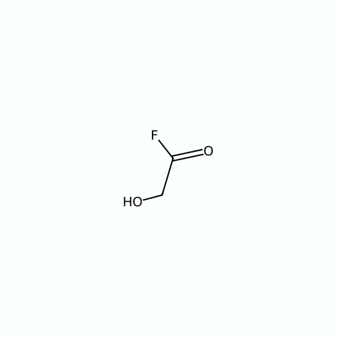 O=C(F)CO